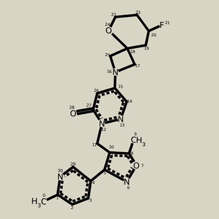 Cc1ccc(-c2noc(C)c2Cn2ncc(N3CC4(CC(F)CCO4)C3)cc2=O)cn1